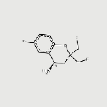 N[C@@H]1CC(CF)(CF)Oc2ccc(F)cc21